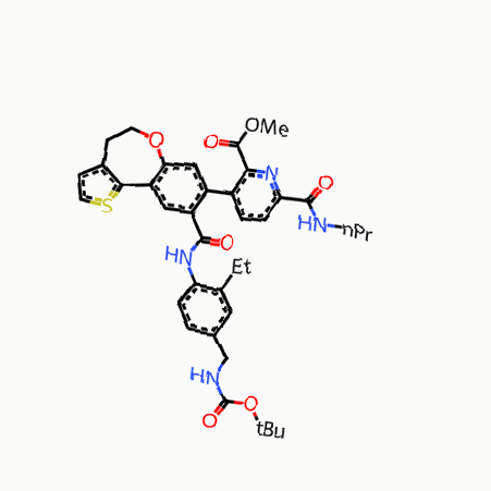 CCCNC(=O)c1ccc(-c2cc3c(cc2C(=O)Nc2ccc(CNC(=O)OC(C)(C)C)cc2CC)-c2sccc2CCO3)c(C(=O)OC)n1